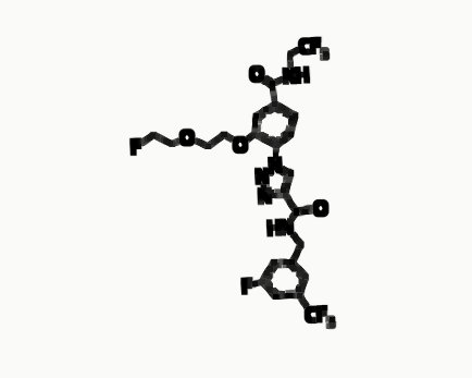 O=C(NCC(F)(F)F)c1ccc(-n2cc(C(=O)NCc3cc(F)cc(C(F)(F)F)c3)nn2)c(OCCOCCF)c1